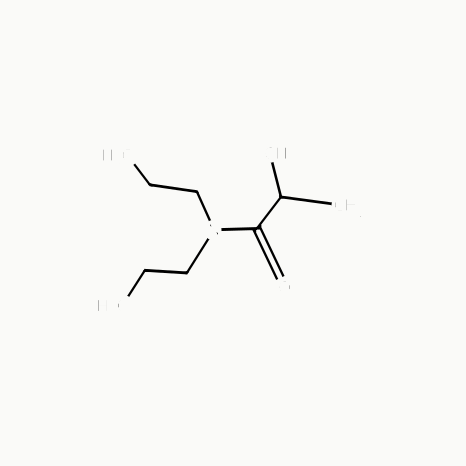 [CH2]C(C)C(=O)N(CCC)CCC